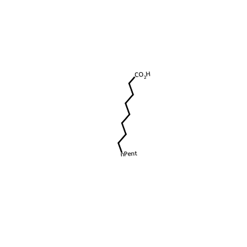 C[CH]CCCCCCCCCCC(=O)O